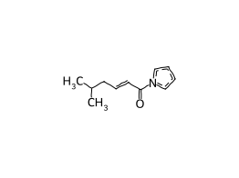 CC(C)C/C=C/C(=O)n1cccc1